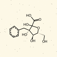 O=C(O)C1(O)O[C@H](CO)[C@@H](O)[C@@]1(O)Cc1ccccc1